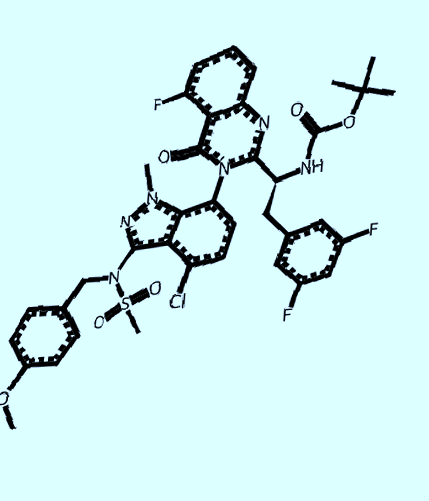 COc1ccc(CN(c2nn(C)c3c(-n4c([C@H](Cc5cc(F)cc(F)c5)NC(=O)OC(C)(C)C)nc5cccc(F)c5c4=O)ccc(Cl)c23)S(C)(=O)=O)cc1